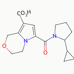 O=C(O)c1cc(C(=O)N2CCCC2C2CC2)n2c1COCC2